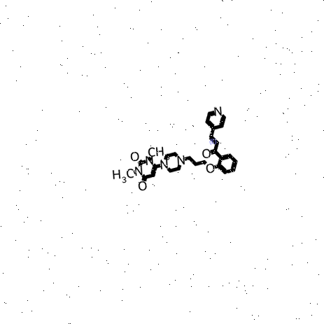 Cn1c(N2CCN(CCCOc3ccccc3C(=O)/C=C/c3ccncc3)CC2)cc(=O)n(C)c1=O